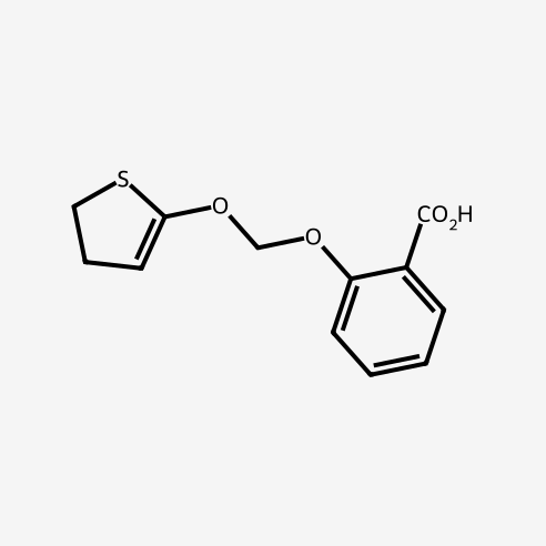 O=C(O)c1ccccc1OCOC1=CCCS1